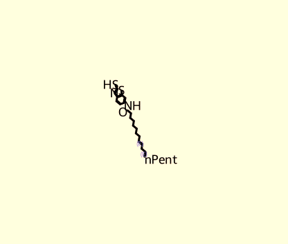 CCCCC/C=C/C/C=C/CCCCCCCC(=O)Nc1ccc2nc(S)sc2c1